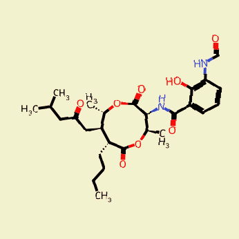 CCCC[C@H]1C(=O)O[C@H](C)[C@H](NC(=O)c2cccc(NC=O)c2O)C(=O)O[C@@H](C)[C@@H]1CC(=O)CC(C)C